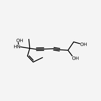 C/C=C\C(C)(C#CC#CC(O)CO)NO